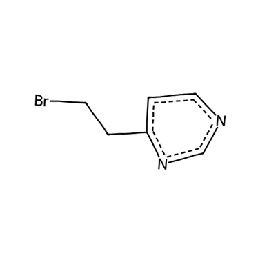 BrCCc1ccncn1